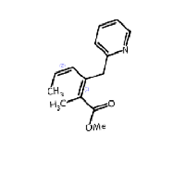 C/C=C\C(Cc1ccccn1)=C(/C)C(=O)OC